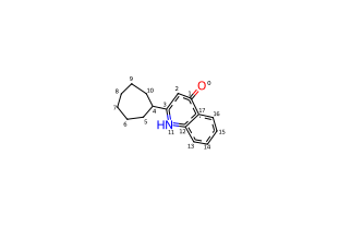 O=c1cc(C2CCCCCC2)[nH]c2ccccc12